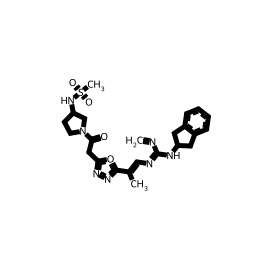 C=N/C(=N\C=C(/C)c1nnc(CC(=O)N2CCC(NS(C)(=O)=O)C2)o1)NC1Cc2ccccc2C1